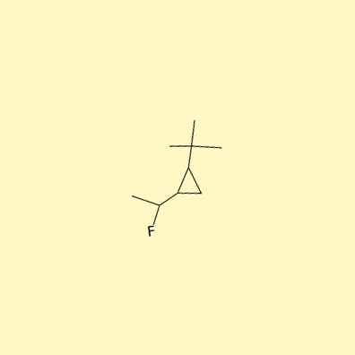 CC(F)C1CC1C(C)(C)C